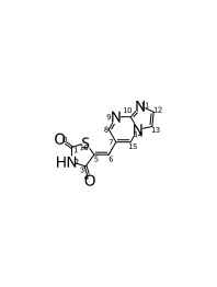 O=C1NC(=O)C(=Cc2cnc3nccn3c2)S1